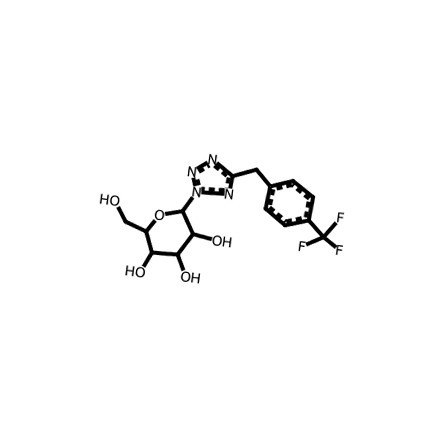 OCC1OC(n2nnc(Cc3ccc(C(F)(F)F)cc3)n2)C(O)C(O)C1O